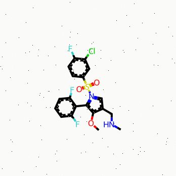 CNCc1cn(S(=O)(=O)c2ccc(F)c(Cl)c2)c(-c2c(F)cccc2F)c1OC